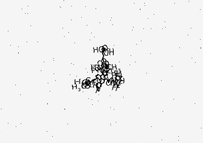 CC(C)(C#Cc1ccc(-c2ccc(Cl)c3c(N(C(=O)OCCCP(=O)(O)O)S(C)(=O)=O)nn(CC(F)(F)F)c23)c(C(Cc2cc(F)cc(F)c2)NC(=O)Cn2nc(C(F)(F)F)c3c2C(F)(F)[C@@H]2C[C@H]32)n1)S(C)(=O)=O